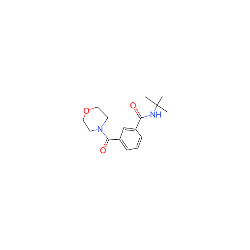 CC(C)(C)NC(=O)c1cccc(C(=O)N2CCOCC2)c1